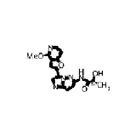 COc1nccc2oc(-c3cnc4ccc(NC(=O)[C@H](C)O)nn34)cc12